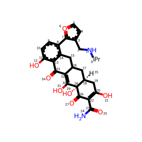 CC(C)NCc1ccoc1-c1ccc(O)c2c1CC1C[C@H]3CC(O)=C(C(N)=O)C(=O)[C@@]3(O)C(O)=C1C2=O